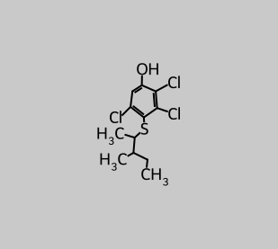 CCC(C)C(C)Sc1c(Cl)cc(O)c(Cl)c1Cl